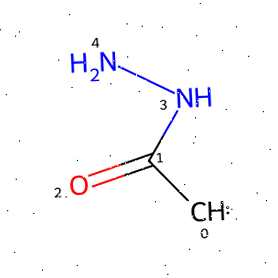 [CH]C(=O)NN